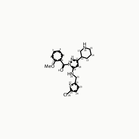 COc1ccccc1C(=O)n1nc(C2CCCNC2)cc1NCc1ccc(Cl)s1